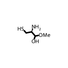 COC(O)[C@H](N)CS